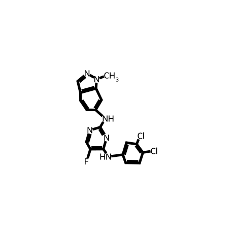 Cn1ncc2ccc(Nc3ncc(F)c(Nc4ccc(Cl)c(Cl)c4)n3)cc21